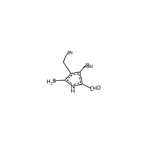 Bc1[nH]c(C=O)c(C(C)CC)c1CC(C)C